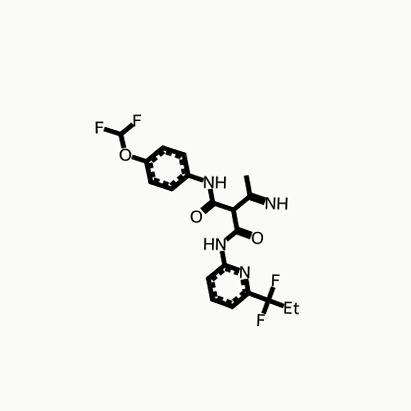 CCC(F)(F)c1cccc(NC(=O)C(C(C)=N)C(=O)Nc2ccc(OC(F)F)cc2)n1